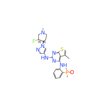 Cc1csc2nc(Nc3cnn([C@@H]4CCN(C)C[C@@H]4F)c3)nc(Nc3ccccc3P(C)(C)=O)c12